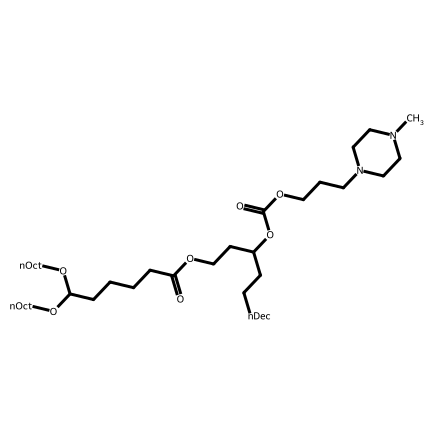 CCCCCCCCCCCCC(CCOC(=O)CCCCC(OCCCCCCCC)OCCCCCCCC)OC(=O)OCCCN1CCN(C)CC1